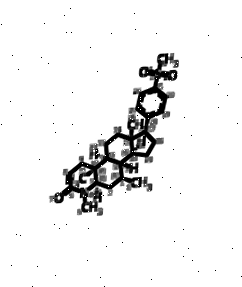 C[C@H]1C[C@H]2N(C)C(=O)CC[C@]2(C)[C@H]2CC[C@]3(C)[C@@H](c4ccc(S(C)(=O)=O)cc4)CC[C@H]3[C@H]12